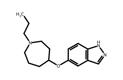 CCCN1CCCC(Oc2ccc3[nH]ncc3c2)CC1